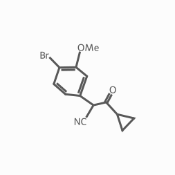 COc1cc(C(C#N)C(=O)C2CC2)ccc1Br